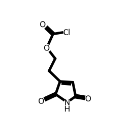 O=C1C=C(CCOC(=O)Cl)C(=O)N1